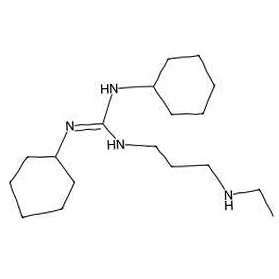 CCNCCCN/C(=N\C1CCCCC1)NC1CCCCC1